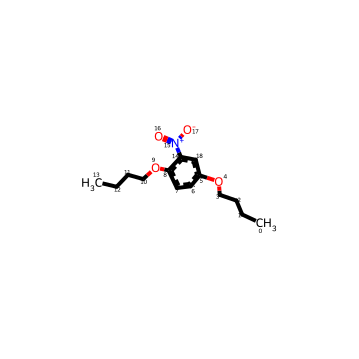 CCCCOc1[c]cc(OCCCC)c([N+](=O)[O-])c1